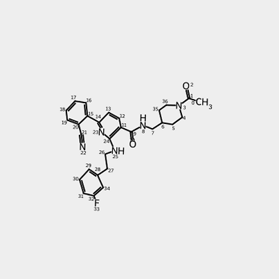 CC(=O)N1CCC(CNC(=O)c2ccc(-c3ccccc3C#N)nc2NCCc2cccc(F)c2)CC1